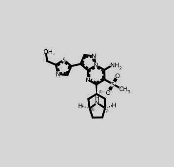 CS(=O)(=O)c1c([C@H]2C[C@H]3CC[C@@H](C2)N3)nc2c(-c3cnc(CO)s3)cnn2c1N